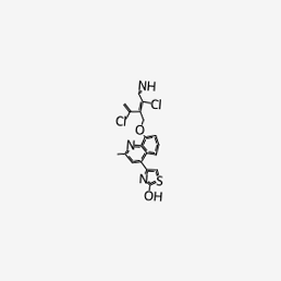 C=C(Cl)/C(COc1cccc2c(-c3csc(O)n3)cc(C)nc12)=C(/Cl)C=N